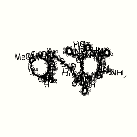 COc1cc2cc(c1Cl)N(C)C(=O)C[C@H](OC(=O)C(C)N(C)C(=O)CCSSCCC(=O)NCCNC(=O)[C@H](Cc1c[nH]c3ccccc13)NC(=O)[C@@H]1CSSC[C@H](NC(=O)[C@H](N)Cc3ccccc3)C(=O)N[C@@H](Cc3ccc(O)cc3)C(=O)N[C@H](Cc3c[nH]c4ccccc34)C(=O)NC(CCCCN)C(=O)NC([C@@H](C)O)C(=O)N1)[C@]1(C)O[C@H]1[C@H](C)[C@@H]1CC(O)(NC(=O)O1)[C@H](OC)/C=C/C=C(\C)C2